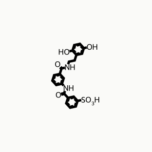 O=C(NCCc1cc(O)ccc1O)c1cccc(NC(=O)c2cccc(S(=O)(=O)O)c2)c1